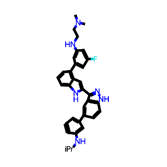 CC(C)Nc1c#ccc(-c2ccc3[nH]nc(-c4cc5c(-c6cc(F)cc(NCCN(C)C)c6)cccc5[nH]4)c3c2)c1